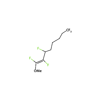 COC(F)=C(F)C(F)CCCCC(F)(F)F